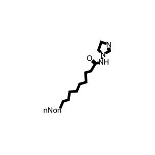 CCCCCCCCCCCCCCCCCC(=O)NN1C=NCC1